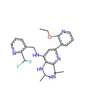 CCOc1ncccc1-c1cc(NCc2cccnc2C(F)F)c(NC(C)C)c(C(C)=N)n1